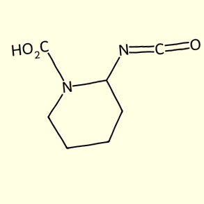 O=C=NC1CCCCN1C(=O)O